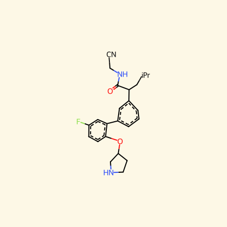 CC(C)CC(C(=O)NCC#N)c1cccc(-c2cc(F)ccc2OC2CCNC2)c1